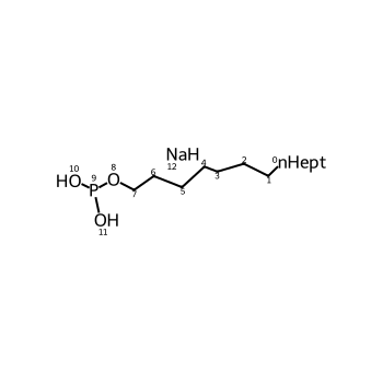 CCCCCCCCCCCCCCOP(O)O.[NaH]